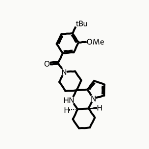 COc1cc(C(=O)N2CCC3(CC2)N[C@@H]2CCCC[C@H]2n2cccc23)ccc1C(C)(C)C